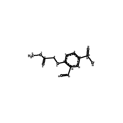 COC(=O)COc1ccc([N+](=O)[O-])cc1C=O